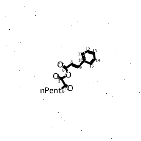 CCCCCC(=O)C(=O)OC(=O)C=Cc1ccccc1